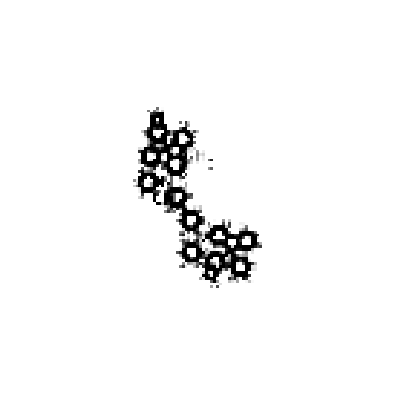 CC1CC=CC=C1N(C1=CC2C(C)(C=C1)c1ccccc1C2(c1ccccc1)c1ccc2c(c1)CC2)c1ccc(-c2ccc(N(c3ccccc3)c3ccc4c(c3)C(c3ccccc3)(c3ccc5c(c3)CC5)c3ccccc3-4)cc2)cc1